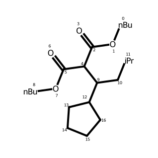 CCCCOC(=O)C(C(=O)OCCCC)C(CC(C)C)C1CCCC1